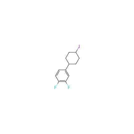 Fc1ccc(C2CCC(I)CC2)cc1F